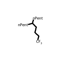 CCCCCC(CCCCC)CCCC(F)(F)F